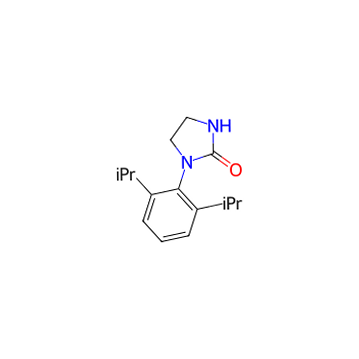 CC(C)c1cccc(C(C)C)c1N1CCNC1=O